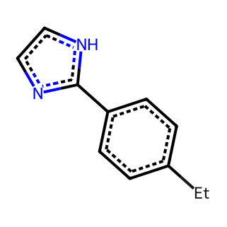 [CH2]Cc1ccc(-c2ncc[nH]2)cc1